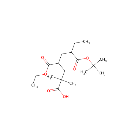 CCOC(=O)C(CC(CC)C(=O)OC(C)(C)C)CC(C)(C)C(=O)O